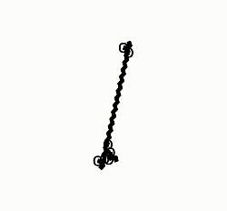 C=CC(=O)OCCCCCCCCCCCCCCCCCCCCCCCCCOCC(COC(=O)C=C)OC(=O)C=C